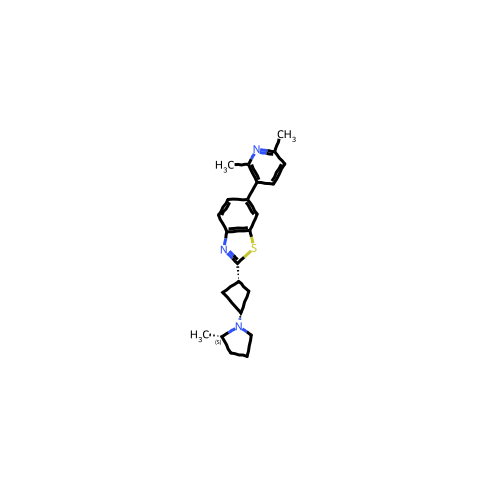 Cc1ccc(-c2ccc3nc([C@H]4C[C@@H](N5CCC[C@@H]5C)C4)sc3c2)c(C)n1